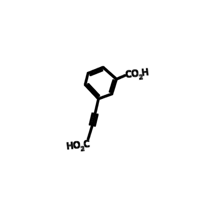 O=C(O)C#Cc1cccc(C(=O)O)c1